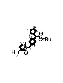 Cc1ccnn(Cc2ccc(C(C(=O)OC(C)(C)C)C3CCCC3)cc2)c1=O